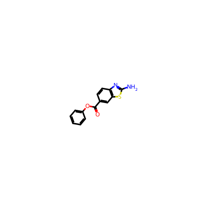 Nc1nc2ccc(C(=O)Oc3ccccc3)cc2s1